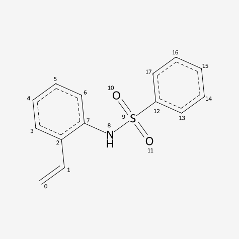 C=Cc1ccccc1NS(=O)(=O)c1ccccc1